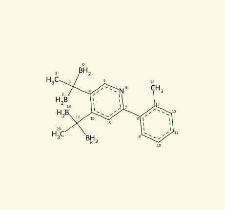 BC(B)(C)c1cnc(-c2ccccc2C)cc1C(B)(B)C